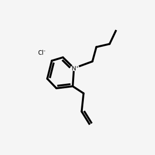 C=CCc1cccc[n+]1CCCC.[Cl-]